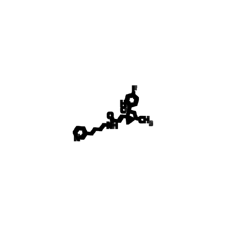 CCC[C@](C)(c1ccc(F)cc1)C1(C=CC(=O)NCCCCc2cccnc2)CC1